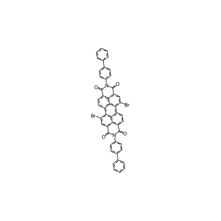 O=C1c2ccc3c4c(Br)cc5c6c(ccc(c7c(Br)cc(c2c37)C(=O)N1c1ccc(-c2ccccc2)cc1)c64)C(=O)N(c1ccc(-c2ccccc2)cc1)C5=O